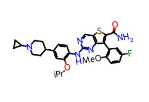 COc1ccc(F)cc1-c1c(C(N)=O)sc2cnc(Nc3ccc(C4CCN(C5CC5)CC4)cc3OC(C)C)nc12